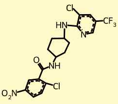 O=C(NC1CCC(Nc2ncc(C(F)(F)F)cc2Cl)CC1)c1cc([N+](=O)[O-])ccc1Cl